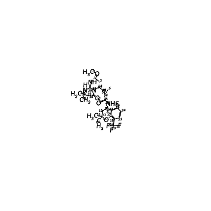 COCC[C@H]([C@@H]1C[C@H]1C(=O)N[C@@H]1CC(C)(C)Oc2c(C(F)(F)F)ccc(F)c21)N1C(=N)NC(C)(C)CC1=O